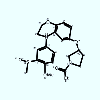 CCC(=O)N1CC[C@H](Oc2ccc3c(c2)N(c2ccc(OC)c([S+](C)[O-])c2)CCO3)C1